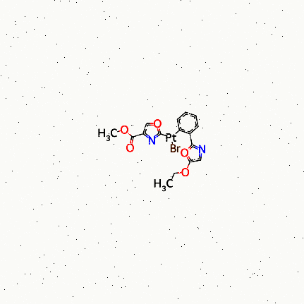 CCOc1cnc(-c2cccc[c]2[Pt]([Br])[c]2nc(C(=O)OC)co2)o1